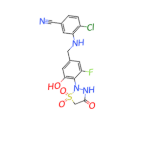 N#Cc1ccc(Cl)c(NCc2cc(O)c(N3NC(=O)CS3(=O)=O)c(F)c2)c1